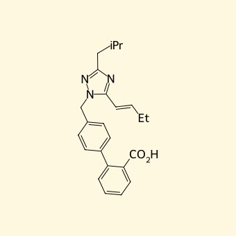 CCC=Cc1nc(CC(C)C)nn1Cc1ccc(-c2ccccc2C(=O)O)cc1